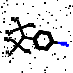 CC(C)(C)C(c1ccc(N)cc1)C(C)(C)C